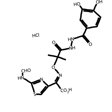 CC(C)(ON=C(C(=O)O)c1csc(NC=O)n1)C(=O)NNC(=O)c1ccc(O)c(O)c1.Cl